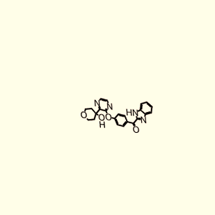 O=C(c1ccc(Oc2nccnc2C2(O)CCOCC2)cc1)c1nc2ccccc2[nH]1